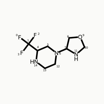 FC(F)(F)C1CN(C2COCN2)CCN1